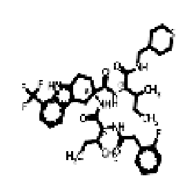 CCC(C)[C@H](NC(=O)Cc1ccccc1F)C(=O)N[C@]1(C(=O)N[C@H](C(=O)NCC2CCSCC2)C(C)CC)CCc2[nH]c3c(C(F)(F)F)cccc3c2C1